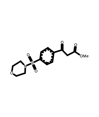 COC(=O)CC(=O)c1ccc(S(=O)(=O)N2CCOCC2)cc1